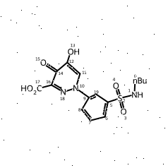 CCCCNS(=O)(=O)c1cccc(-n2cc(O)c(=O)c(C(=O)O)n2)c1